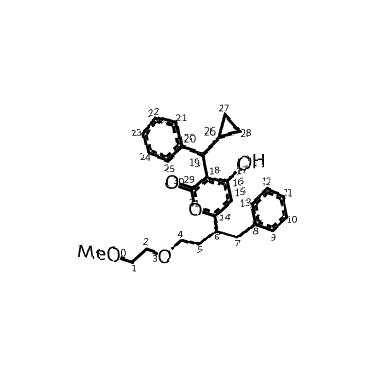 COCCOCCC(Cc1ccccc1)c1cc(O)c(C(c2ccccc2)C2CC2)c(=O)o1